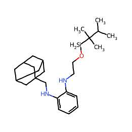 CC(C)C(C)(C)[SiH2]OCCNc1ccccc1NCC12CC3CC(CC(C3)C1)C2